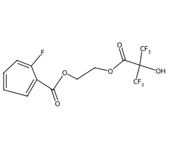 O=C(OCCOC(=O)C(O)(C(F)(F)F)C(F)(F)F)c1ccccc1F